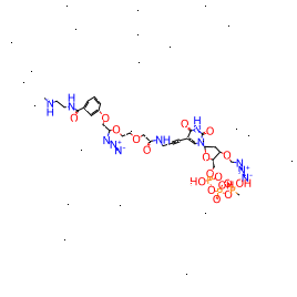 CNCCNC(=O)c1cccc(OCC(N=[N+]=[N-])OCCOCC(=O)NCC#Cc2cn([C@H]3CC(OCN=[N+]=[N-])[C@@H](COP(=O)(O)OP(=O)(O)OP(C)(=O)O)O3)c(=O)[nH]c2=O)c1